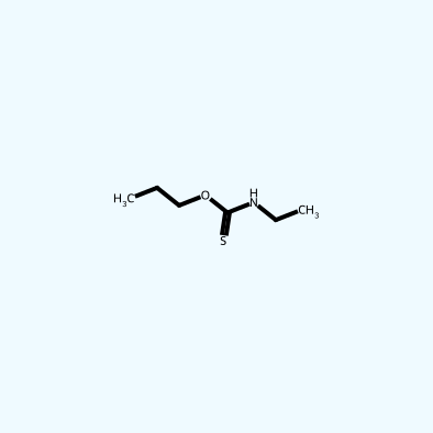 CCCOC(=S)NCC